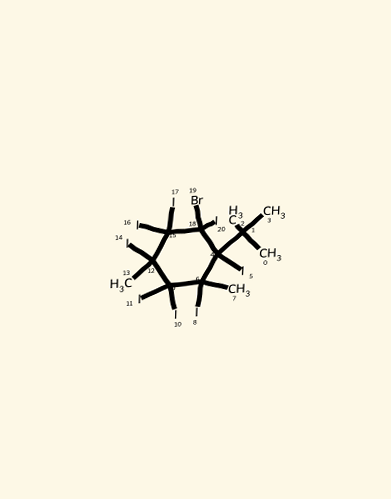 CC(C)(C)C1(I)C(C)(I)C(I)(I)C(C)(I)C(I)(I)C1(Br)I